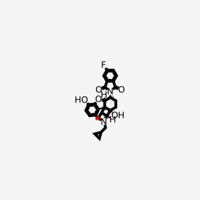 Cc1ccc(O)c2c1[C@]13C4CN(CC5CC5)[C@H]4[C@]1(O)CC[C@@H](N1C(=O)c4ccc(F)cc4C1=O)[C@@H]3O2